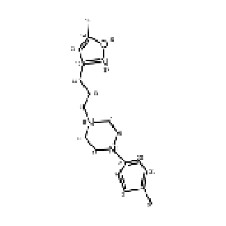 Cc1ccc(N2CCN(CCCc3cc(C)on3)CC2)cc1